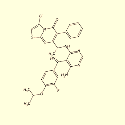 CC(C)Oc1ccc(C(=N)c2c(N)ncnc2N[C@H](C)c2cc3scc(Cl)n3c(=O)c2-c2ccccc2)cc1F